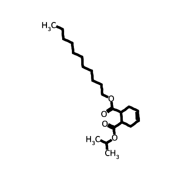 CCCCCCCCCCCOC(=O)C1CC=CCC1C(=O)OC(C)C